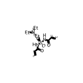 C=CC(=O)NS(=O)(=O)NC(=O)C=C.CCN(CC)CC